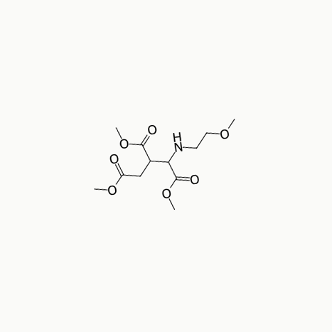 COCCNC(C(=O)OC)C(CC(=O)OC)C(=O)OC